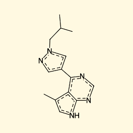 Cc1c[nH]c2ncnc(-c3cnn(CC(C)C)c3)c12